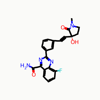 CN1CC[C@@](O)(C#Cc2cccc(-c3nc(C(N)=O)c4cccc(F)c4n3)c2)C1=O